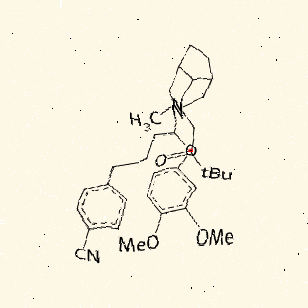 COc1ccc(OC(CCCc2ccc(C#N)cc2)N2CC3CCC(C2)C3N(C)CC(=O)C(C)(C)C)cc1OC